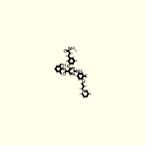 Cc1cccc(C)c1NC(=O)c1cnc(Nc2ccc(OCCCN3CCCCC3)c(F)c2)nc1Oc1cccc(CCC(N)=O)c1